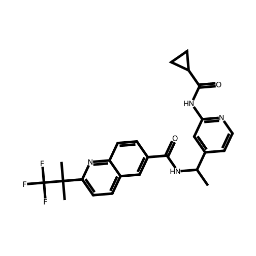 CC(NC(=O)c1ccc2nc(C(C)(C)C(F)(F)F)ccc2c1)c1ccnc(NC(=O)C2CC2)c1